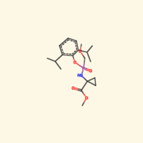 COCP(=O)(NC1(C(=O)OC)CC1)Oc1c(C(C)C)cccc1C(C)C